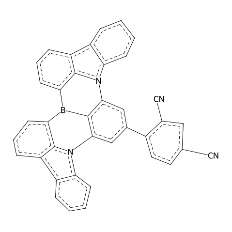 N#Cc1ccc(-c2cc3c4c(c2)-n2c5ccccc5c5cccc(c52)B4c2cccc4c5ccccc5n-3c24)c(C#N)c1